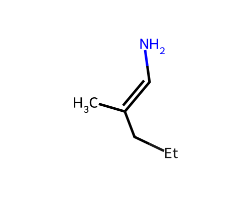 CCCC(C)=CN